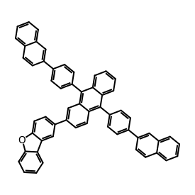 c1ccc2cc(-c3ccc(-c4c5ccccc5c(-c5ccc(-c6ccc7ccccc7c6)cc5)c5cc(-c6ccc7oc8ccccc8c7c6)ccc45)cc3)ccc2c1